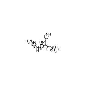 CN(C)CC(=O)Nc1cnc(Nc2cnc(N)cn2)cc1NCC1CCNCC1